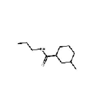 CCCNC(=O)C1CCCC(C)C1